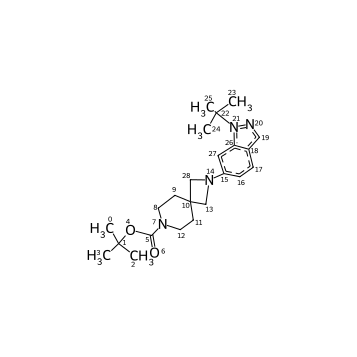 CC(C)(C)OC(=O)N1CCC2(CC1)CN(c1ccc3cnn(C(C)(C)C)c3c1)C2